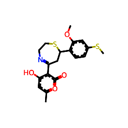 COc1cc(SC)ccc1C1CC(c2c(O)cc(C)oc2=O)=NCCS1